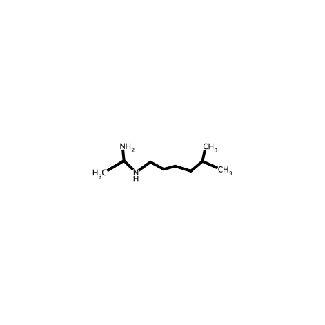 CC(C)CCCCNC(C)N